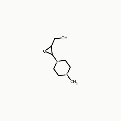 CN1CCN(C2OC2CO)CC1